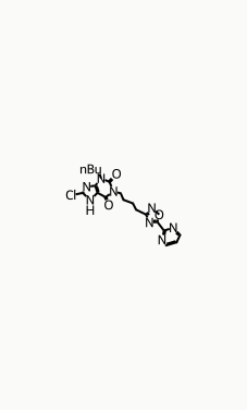 CCCCn1c(=O)n(CCCCc2noc(-c3ncccn3)n2)c(=O)c2[nH]c(Cl)nc21